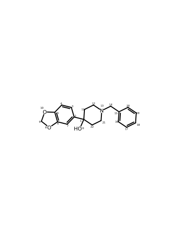 OC1(c2ccc3c(c2)OCO3)CCN(Cc2ccccc2)CC1